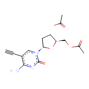 C#Cc1cn([C@H]2C[C@H](OC(C)=O)[C@@H](COC(C)=O)O2)c(=O)nc1N